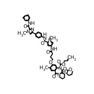 C=CCOC(=O)N1c2cc(OCCCC(=O)Nc3cc(C(=O)Nc4ccc(-c5cn(C)c(C(=O)Nc6ccccc6)n5)cc4)n(C)c3)c(C)cc2C(=O)N2CCCC[C@H]2C1OC1CCCCO1